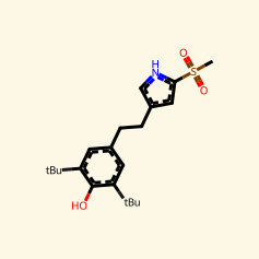 CC(C)(C)c1cc(CCc2c[nH]c(S(C)(=O)=O)c2)cc(C(C)(C)C)c1O